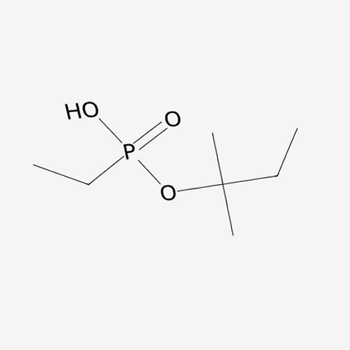 CCC(C)(C)OP(=O)(O)CC